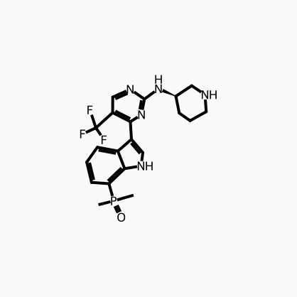 CP(C)(=O)c1cccc2c(-c3nc(N[C@@H]4CCCNC4)ncc3C(F)(F)F)c[nH]c12